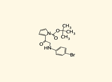 CC(C)(C)OC(=O)n1cccc1C(=O)CNc1ccc(Br)cc1